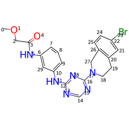 COCC(=O)Nc1cccc(Nc2ncnc(N3CCc4cc(Br)ccc4C3)n2)c1